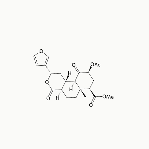 COC(=O)[C@@H]1C[C@H](OC(C)=O)C(=O)[C@@H]2[C@H]3C[C@@H](c4ccoc4)OC(=O)[C@@H]3CC[C@]21C